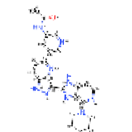 CCCCC(=O)Nc1cncc(-c2ccc3[nH]nc(-c4nc5c(N6CCCCC6)nccc5[nH]4)c3n2)c1